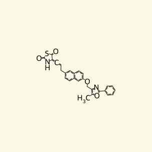 Cc1oc(-c2ccccc2)nc1COc1ccc2cc(CC=C=C3NC(=O)SC3=O)ccc2c1